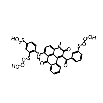 Cn1c(=O)c(C(=O)c2cccc(SOOO)c2)c2c3c(c(Nc4ccc(S(=O)(=O)O)cc4SOOO)ccc31)C(=O)c1ccccc1-2